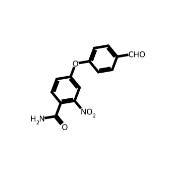 NC(=O)c1ccc(Oc2ccc(C=O)cc2)cc1[N+](=O)[O-]